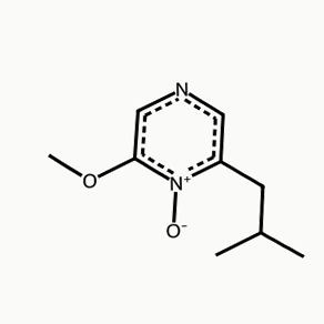 COc1cncc(CC(C)C)[n+]1[O-]